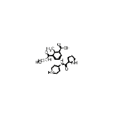 Cc1c(C(=O)O)cccc1C(=O)O.Cl.Cl.O=C(NC1CCNCC1)C1CCCN1